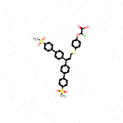 CS(=O)(=O)c1ccc(-c2ccc(C(=CCSc3ccc(OC(Cl)C(=O)O)cc3)c3ccc(-c4ccc(S(C)(=O)=O)cc4)cc3)cc2)cc1